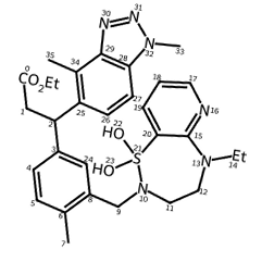 CCOC(=O)CC(c1ccc(C)c(CN2CCN(CC)c3ncccc3S2(O)O)c1)c1ccc2c(nnn2C)c1C